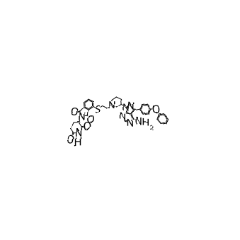 Nc1ncnc2c1c(-c1ccc(Oc3ccccc3)cc1)nn2C1CCCN(CCSc2cccc3c2C(=O)N(C2CCC(=O)NC2=O)C3=O)C1